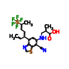 C=C/C(=C\C=C(/C)S(F)(F)(F)(F)F)c1cc(NCC(=C)C(=O)O)c(C#N)c2scnc12